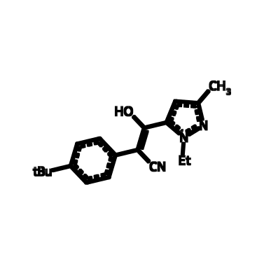 CCn1nc(C)cc1C(O)=C(C#N)c1ccc(C(C)(C)C)cc1